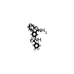 NC(=O)c1cc(NC(=O)c2ccccc2)ccc1N1CCOCC1